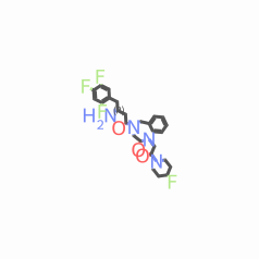 N[C@@H](CC(=O)N1CC(=O)N(CC(=O)N2CCC(F)CC2)c2ccccc2C1)Cc1cc(F)c(F)cc1F